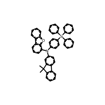 CC1(C)c2ccccc2-c2ccc(N(c3ccc([Si](c4ccccc4)(c4ccccc4)c4ccccc4)cc3)c3cccc4c3oc3ccccc34)cc21